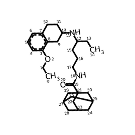 CCOc1cccc2c1CC(NC(CC)CCCNC(=O)C13CC4CC(CC(C4)C1)C3)CC2